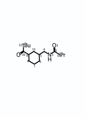 CC(C)C(=O)NCC1CCCC(C(=O)C(C)(C)C)C1